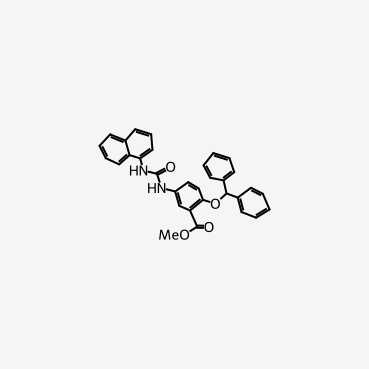 COC(=O)c1cc(NC(=O)Nc2cccc3ccccc23)ccc1OC(c1ccccc1)c1ccccc1